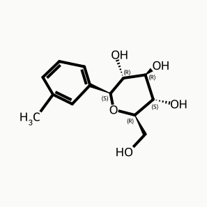 Cc1cccc([C@@H]2O[C@H](CO)[C@@H](O)[C@H](O)[C@H]2O)c1